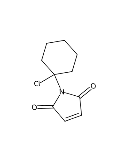 O=C1C=CC(=O)N1C1(Cl)CCCCC1